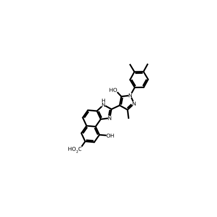 Cc1ccc(-n2nc(C)c(-c3nc4c(ccc5cc(C(=O)O)cc(O)c54)[nH]3)c2O)cc1C